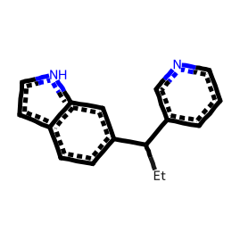 [CH2]CC(c1cccnc1)c1ccc2cc[nH]c2c1